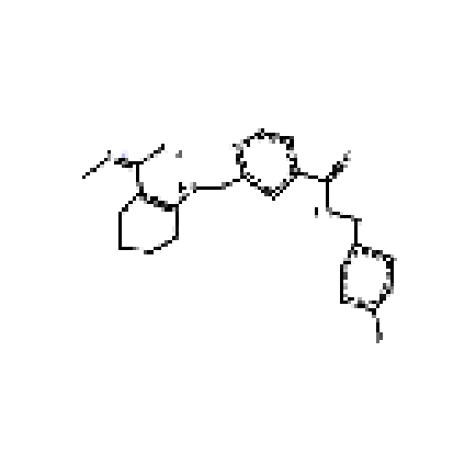 C/N=C(\C1=C(NCc2cc(C(=O)NCc3ccc(F)cc3)ccn2)CCCC1)C(F)(F)F